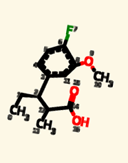 CC[C@@H](c1ccc(F)c(OC)c1)C(C)C(=O)O